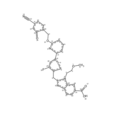 COCCn1c(Cc2ccc(-c3cccc(OCn4ccc(C#N)cc4=O)n3)cc2F)nc2ccc(C(=O)O)cc21